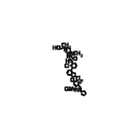 COc1cc(OC2CCc3c(-c4cccc(NC(=O)c5nc6c(n5C)CCN(C(C)CO)C6)c4Cl)cccc32)c(Cl)c(F)c1CNC1CCCC1